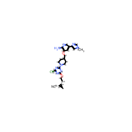 Cn1cnc(-c2cnc(N)c(OCC3CCN(c4nc(Cl)nc(OCC[C@@H]5C[C@@H]5C#N)n4)CC3)c2)c1